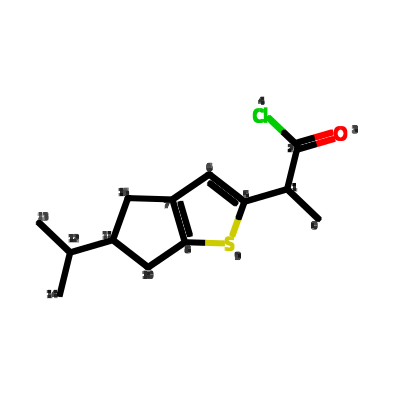 CC(C(=O)Cl)c1cc2c(s1)CC(C(C)C)C2